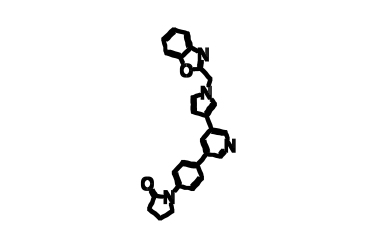 O=C1CCCN1c1ccc(-c2cncc(-c3ccn(Cc4nc5ccccc5o4)c3)c2)cc1